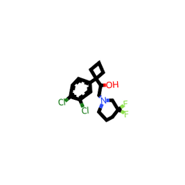 OC(CN1CCCC(F)(F)C1)C1(c2ccc(Cl)c(Cl)c2)CCC1